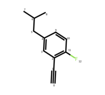 C#Cc1cc(CC(C)C)ccc1F